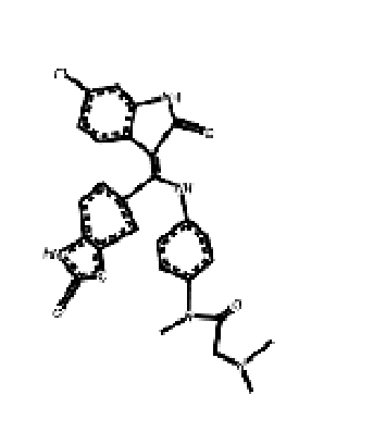 CN(C)CC(=O)N(C)c1ccc(N/C(=C2\C(=O)Nc3cc(Cl)ccc32)c2ccc3[nH]c(=O)oc3c2)cc1